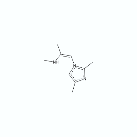 CN/C(C)=C\n1cc(C)nc1C